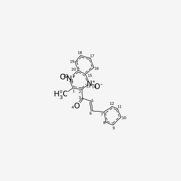 Cc1c(C(=O)C=Cc2ccccc2)[n+]([O-])c2ccccc2[n+]1[O-]